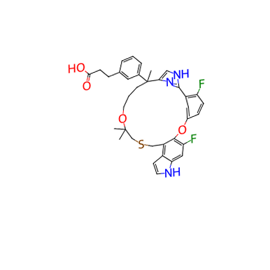 CC1(C)CSCc2c(c(F)cc3[nH]ccc23)Oc2ccc(F)c(c2)-c2nc(c[nH]2)C(C)(c2cccc(CCC(=O)O)c2)CCCO1